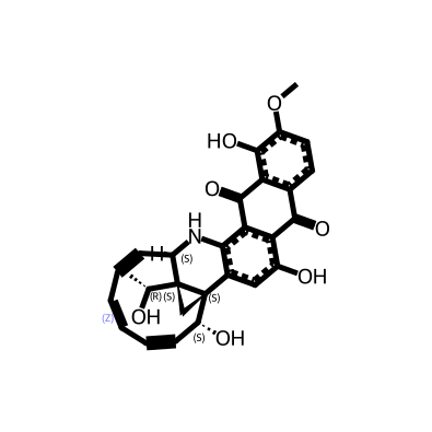 COc1ccc2c(c1O)C(=O)c1c3c(cc(O)c1C2=O)[C@@]12C[C@@]1([C@@H](C)O)[C@H](C#C/C=C\C#C[C@H]2O)N3